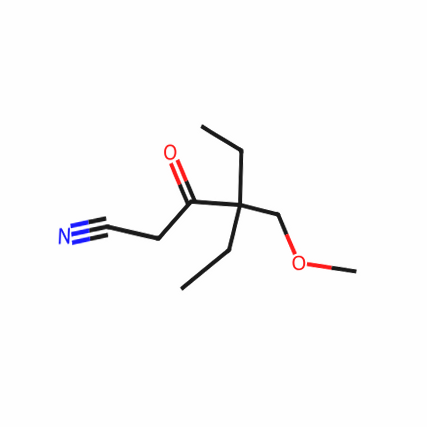 CCC(CC)(COC)C(=O)CC#N